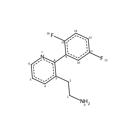 NCCc1cccnc1-c1cc(F)ccc1F